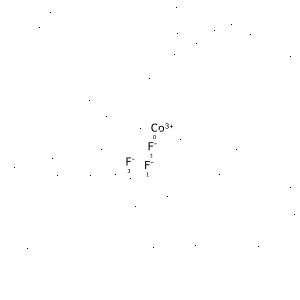 [Co+3].[F-].[F-].[F-]